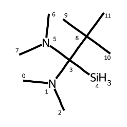 CN(C)C([SiH3])(N(C)C)C(C)(C)C